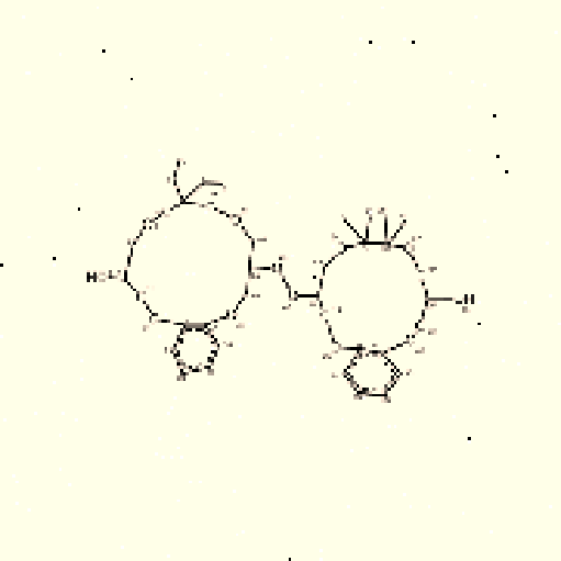 CCC1(CC)COCC(O)COc2ccccc2OCC(OOC2COc3ccccc3OCC(O)COC(C)(C)C(C)(C)OC2)COC1